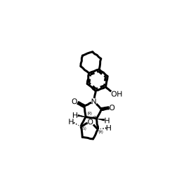 O=C1[C@@H]2[C@H](C(=O)N1c1cc3c(cc1O)CCCC3)[C@H]1CC[C@@H]2O1